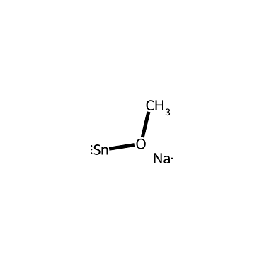 C[O][Sn].[Na]